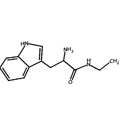 [CH2]CNC(=O)C(N)Cc1c[nH]c2ccccc12